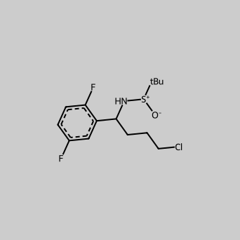 CC(C)(C)[S+]([O-])NC(CCCCl)c1cc(F)ccc1F